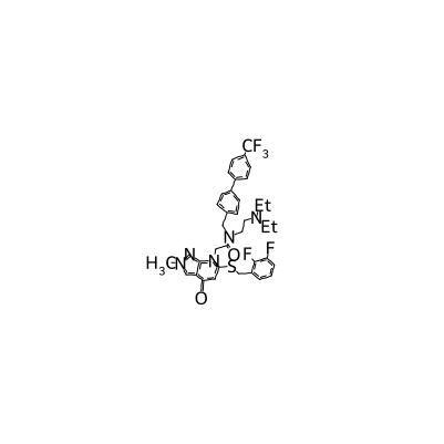 CCN(CC)CCN(Cc1ccc(-c2ccc(C(F)(F)F)cc2)cc1)C(=O)Cn1c(SCc2cccc(F)c2F)cc(=O)c2cn(C)nc21